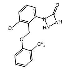 CCc1cccc(-n2[nH][nH]c2=O)c1COc1ccccc1C(F)(F)F